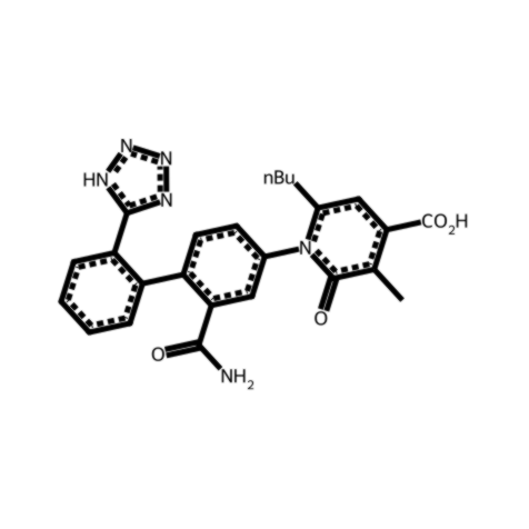 CCCCc1cc(C(=O)O)c(C)c(=O)n1-c1ccc(-c2ccccc2-c2nnn[nH]2)c(C(N)=O)c1